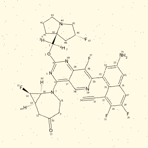 [2H]C([2H])(Oc1nc(N2CCC(=O)C[C@H]3[C@@H](F)[C@H]32)c2cnc(-c3cc(N)cc4cc(F)c(F)c(C#C)c34)c(F)c2n1)[C@@]12CCCN1C[C@H](F)C2